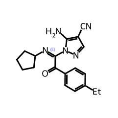 CCc1ccc(C(=O)/C(=N\C2CCCC2)n2ncc(C#N)c2N)cc1